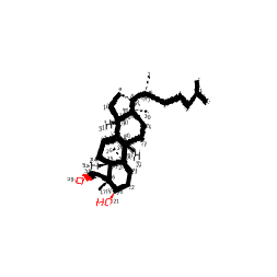 CC(C)CCC[C@@H](C)[C@H]1CC[C@H]2C3=CC[C@H]4[C@@](C)(C=O)[C@@H](O)CC[C@]4(C)[C@H]3CC[C@]12C